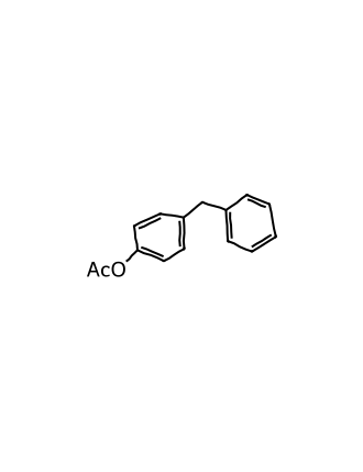 CC(=O)Oc1ccc(Cc2ccccc2)cc1